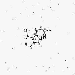 CCC1Cc2nc(C)ccc2C1CC